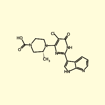 C[C@@H]1CN(C(=O)O)CCN1c1nc(-c2c[nH]c3ncccc23)[nH]c(=O)c1Cl